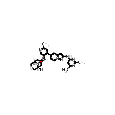 Cc1cc(-c2ccn3nc(Nc4cc(C)nc(C)n4)cc3c2)c(OC2C[C@H]3COC[C@@H](C2)N3C#N)cn1